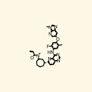 C=CC(=O)N(C)[C@@H]1CCCC[C@@H](c2ccc3ncnc(Nc4cc(C)c(Oc5cnc6c(c5)ncn6C)cc4F)c3n2)C1